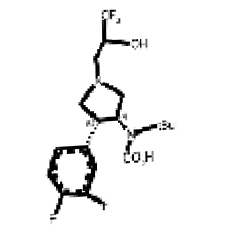 CC(C)(C)N(C(=O)O)[C@@H]1CN(CC(O)C(F)(F)F)C[C@H]1c1ccc(F)c(F)c1